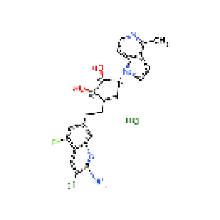 Cc1nccc2c1ccn2[C@@H]1C=C(CCc2cc(F)c3cc(Cl)c(N)nc3c2)[C@@H](O)[C@H]1O.Cl